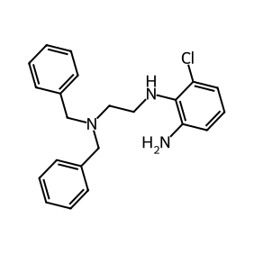 Nc1cccc(Cl)c1NCCN(Cc1ccccc1)Cc1ccccc1